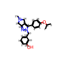 CC(C)Oc1ccc(-c2c3c(nn2Cc2cccc(O)c2)CN(C)C3)cc1